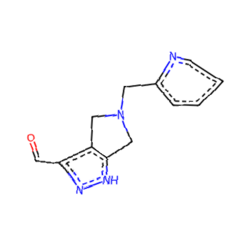 O=Cc1n[nH]c2c1CN(Cc1ccccn1)C2